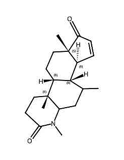 CC1CC2N(C)C(=O)CC[C@]2(C)[C@@H]2CC[C@]3(C)C(=O)C=C[C@H]3[C@H]12